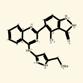 COCc1cc(Nc2nc(-c3ccc4[nH][nH]c(=O)c4c3C(F)(F)F)nc3ccccc23)n[nH]1